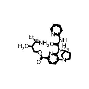 CC[C@@H](N)C(C)COC(=O)c1ccc2c(n1)N(C(=O)Nc1ccccn1)[C@H]1CCN2C1